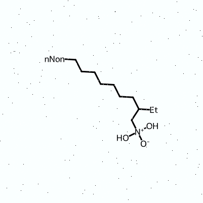 CCCCCCCCCCCCCCCCC(CC)C[N+]([O-])(O)O